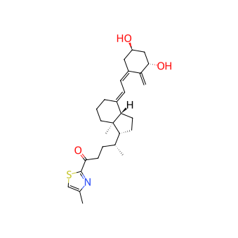 C=C1/C(=C\C=C2/CCC[C@]3(C)[C@@H]([C@H](C)CCC(=O)c4nc(C)cs4)CC[C@@H]23)C[C@@H](O)C[C@@H]1O